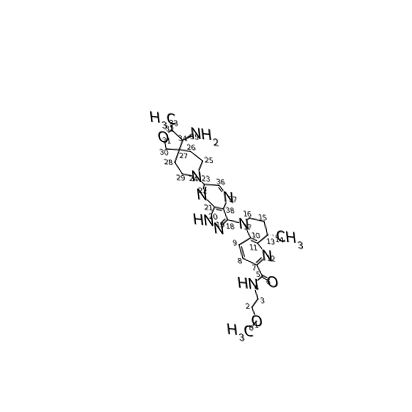 COCCNC(=O)c1ccc2c(n1)[C@@H](C)CCN2c1n[nH]c2nc(N3CCC4(CC3)CO[C@@H](C)[C@H]4N)cnc12